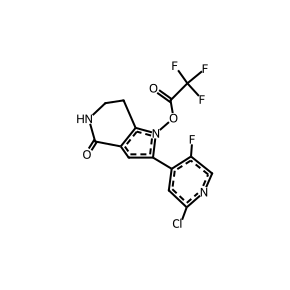 O=C1NCCc2c1cc(-c1cc(Cl)ncc1F)n2OC(=O)C(F)(F)F